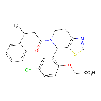 CC(CC(=O)N1CCc2ncsc2C1c1cc(Cl)ccc1OCC(=O)O)c1ccccc1